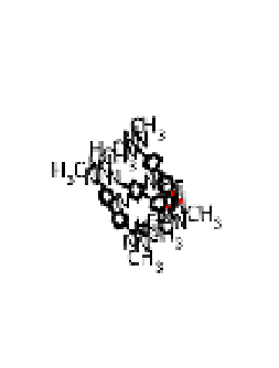 Cc1nc(C)nc(-c2ccc3c4ccc(-c5nc(C)nc(C)n5)cc4n(-c4cc(-c5cc(C(F)(F)F)cc(C(F)(F)F)c5)c(-n5c6cc(-c7nc(C)nc(C)n7)ccc6c6ccc(-c7nc(C)nc(C)n7)cc65)cc4C#N)c3c2)n1